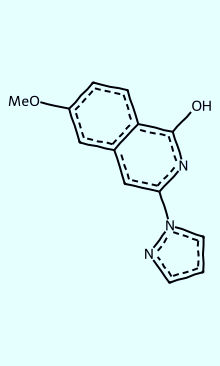 COc1ccc2c(O)nc(-n3cccn3)cc2c1